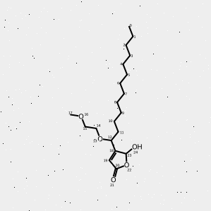 CCCCCCCCCCCCC(OCCOC)C1=CC(=O)OC1O